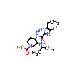 CCc1[nH]c(C(=O)N[C@@H]2CCN(C(=O)O)C[C@@H]2NC(C)C)nc1Cl